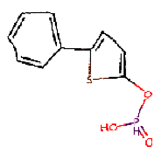 O=[PH](O)Oc1ccc(-c2ccccc2)s1